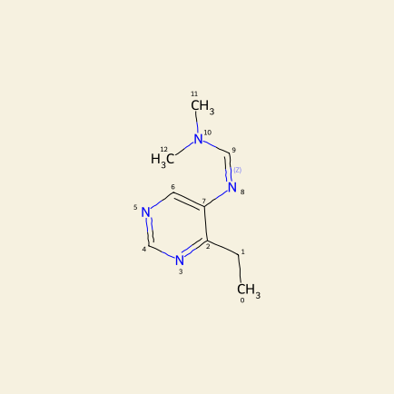 CCc1ncncc1/N=C\N(C)C